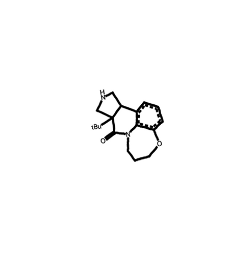 CC(C)(C)C12CNCC1c1cccc3c1N(CCCO3)C2=O